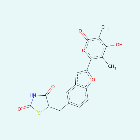 Cc1c(-c2cc3cc(CC4SC(=O)NC4=O)ccc3o2)oc(=O)c(C)c1O